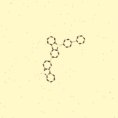 Cn1c2ccccc2c2cc(-c3ccc4c(c3)c3ccccc3n4-c3ccc(-c4ccccc4)cc3)ccc21